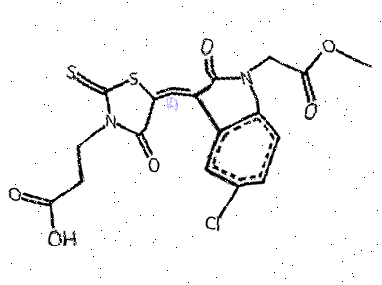 COC(=O)CN1C(=O)/C(=C2\SC(=S)N(CCC(=O)O)C2=O)c2cc(Cl)ccc21